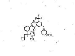 C[C@H]1CCCN(Cc2cc(C(F)(F)F)c3ncn(-c4cccc(C5(c6nncn6C)CC6(CCC6)C5)c4)c(=O)c3c2)C1